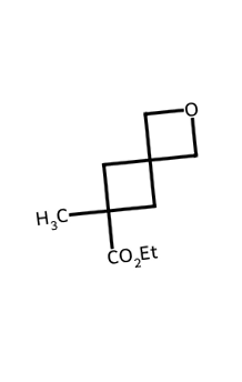 CCOC(=O)C1(C)CC2(COC2)C1